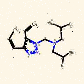 C=Cc1c(/C=C\C)nnn1CN(CC(CC)CCCC)CC(CC)CCCC